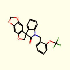 O=C1N(Cc2ccccc2OC(F)(F)F)c2ccccc2C12COc1cc3c(cc12)OCO3